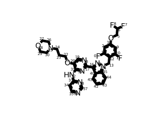 Fc1cc(OCC(F)F)cc(F)c1Cn1nc(-c2ncc(OCCCN3CCOCC3)c(Nc3ccncn3)n2)c2ccccc21